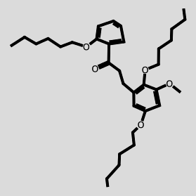 CCCCCCOc1cc(CCC(=O)c2ccccc2OCCCCCC)c(OCCCCCC)c(OC)c1